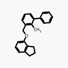 Cc1c(COc2cccc3c2CCC3)cccc1-c1ccccc1